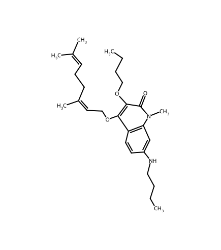 CCCCNc1ccc2c(OCC=C(C)CCC=C(C)C)c(OCCCC)c(=O)n(C)c2c1